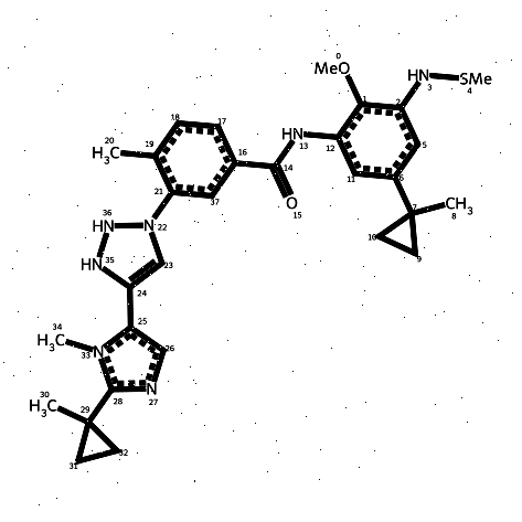 COc1c(NSC)cc(C2(C)CC2)cc1NC(=O)c1ccc(C)c(N2C=C(c3cnc(C4(C)CC4)n3C)NN2)c1